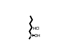 CCCCCN(C)O.Cl